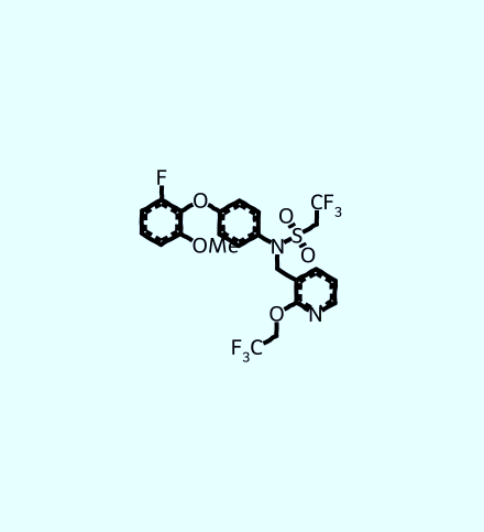 COc1cccc(F)c1Oc1ccc(N(Cc2cccnc2OCC(F)(F)F)S(=O)(=O)CC(F)(F)F)cc1